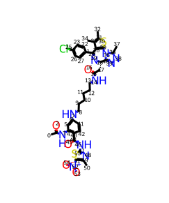 CC(=O)Nc1cc(NCCCCCCNC(=O)C[C@@H]2N=C(c3ccc(Cl)cc3)c3c(sc(C)c3C)-n3c(C)nnc32)ccc1C(=O)Nc1nc(C)c([N+](=O)[O-])s1